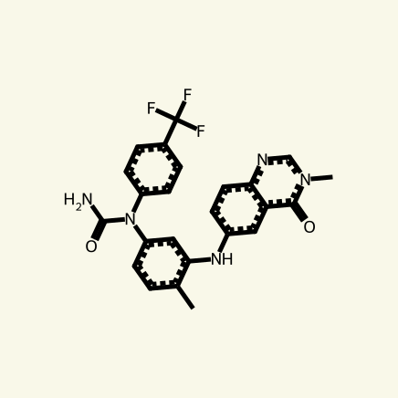 Cc1ccc(N(C(N)=O)c2ccc(C(F)(F)F)cc2)cc1Nc1ccc2ncn(C)c(=O)c2c1